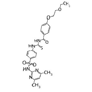 CCOCCOc1ccc(C(=O)NC(=S)Nc2ccc(S(=O)(=O)Nc3nc(C)cc(C)n3)cc2)cc1